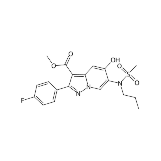 CCCN(c1cn2nc(-c3ccc(F)cc3)c(C(=O)OC)c2cc1O)S(C)(=O)=O